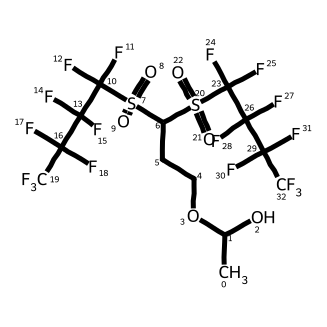 CC(O)OCCC(S(=O)(=O)C(F)(F)C(F)(F)C(F)(F)C(F)(F)F)S(=O)(=O)C(F)(F)C(F)(F)C(F)(F)C(F)(F)F